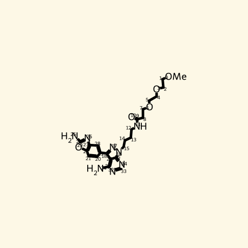 COCCOCCOCCC(=O)NCCCCn1nc(-c2ccc3oc(N)nc3c2)c2c(N)ncnc21